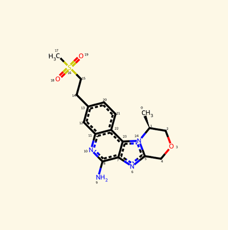 C[C@H]1COCc2nc3c(N)nc4cc(CCS(C)(=O)=O)ccc4c3n21